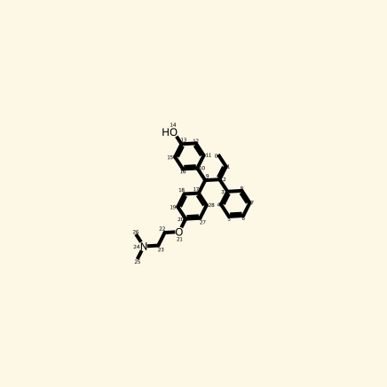 CC=C(c1ccccc1)C(c1ccc(O)cc1)c1ccc(OCCN(C)C)cc1